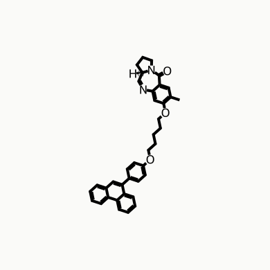 Cc1cc2c(cc1OCCCCCOc1ccc(-c3cc4ccccc4c4ccccc34)cc1)N=C[C@@H]1CCCN1C2=O